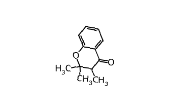 CC1C(=O)c2ccccc2OC1(C)C